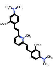 COc1cc(N(C)C)ccc1/C=C/c1cccc(/C=C/c2ccc(N(C)C)cc2OC)[n+]1C